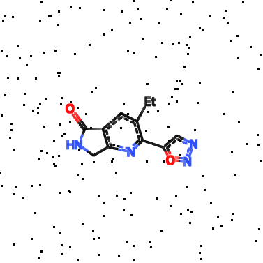 CCc1cc2c(nc1-c1cnno1)CNC2=O